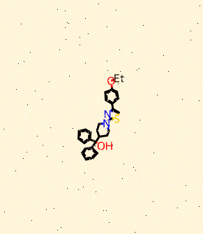 CCOc1ccc(-c2csc(N3CCC(C(O)(c4ccccc4)c4ccccc4)CC3)n2)cc1